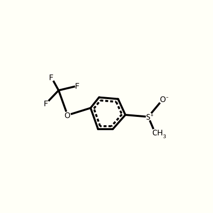 C[S+]([O-])c1ccc(OC(F)(F)F)cc1